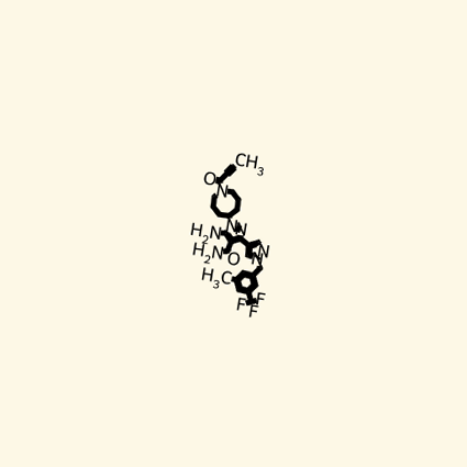 CC#CC(=O)N1CCCC(n2nc(-c3cnn(Cc4cc(C)cc(C(F)(F)F)c4)c3)c(C(N)=O)c2N)CCC1